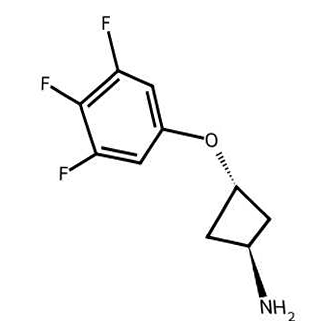 N[C@H]1C[C@H](Oc2cc(F)c(F)c(F)c2)C1